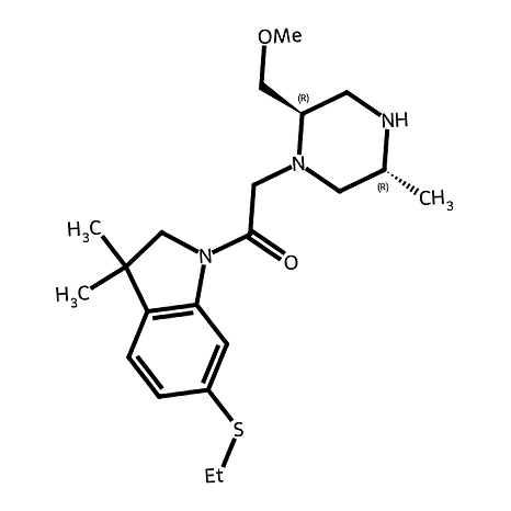 CCSc1ccc2c(c1)N(C(=O)CN1C[C@@H](C)NC[C@@H]1COC)CC2(C)C